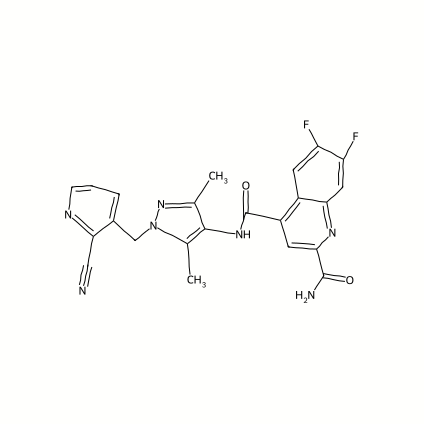 Cc1nn(Cc2cccnc2C#N)c(C)c1NC(=O)c1cc(C(N)=O)nc2cc(F)c(F)cc12